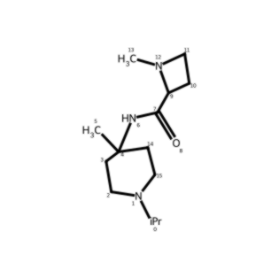 CC(C)N1CCC(C)(NC(=O)C2CCN2C)CC1